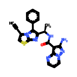 C#Cc1csc2nc([C@@H](C)NC(=O)c3c(N)nn4cccnc34)c(-c3ccccc3)n12